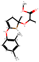 CCCOC(=O)C(C)OC1(C)CC=C(Oc2ccc(C(F)(F)F)cc2[N+](=O)[O-])S1